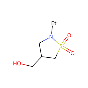 CCN1CC(CO)CS1(=O)=O